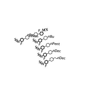 CCCC1CCC(c2cccc(N=C=S)c2F)CC1.CCCCC1CCC(c2ccc(N=C=S)c(F)c2)CC1.CCCCCC1CCC(c2ccc(N=C=S)c(F)c2)CC1.CCCCCCCCCC1CCC(c2ccc(N=C=S)c(F)c2)CC1.CCCCCCCCCCC1CCC(c2ccc(N=C=S)c(F)c2)CC1.CCCCCCCCCCCCC1CCC(c2ccc(N=C=S)c(F)c2)CC1